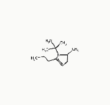 CCCC1=CCC(C)N1C(C)(C)N